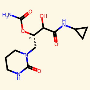 NC(=O)O[C@@H](CN1CCCNC1=O)C(O)C(=O)NC1CC1